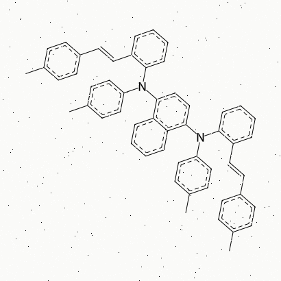 Cc1ccc(C=Cc2ccccc2N(c2ccc(C)cc2)c2ccc(N(c3ccc(C)cc3)c3ccccc3C=Cc3ccc(C)cc3)c3ccccc23)cc1